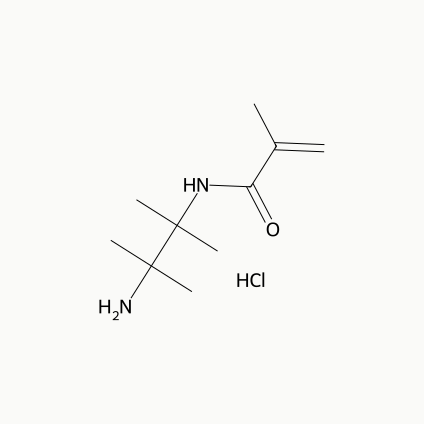 C=C(C)C(=O)NC(C)(C)C(C)(C)N.Cl